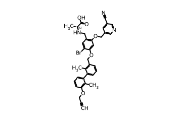 C#CCOc1cccc(-c2cccc(COc3cc(OCc4cncc(C#N)c4)c(CN[C@@H](C)C(=O)O)cc3Br)c2C)c1C